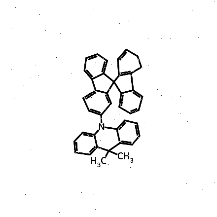 CC1(C)c2ccccc2N(c2ccc3c(c2)C2(C4=C(CCC=C4)c4ccccc42)c2ccccc2-3)c2ccccc21